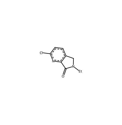 CCN1Cc2ccc(Cl)nc2C1=O